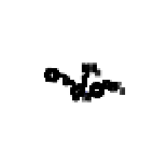 NCCCn1c(COCc2ccccc2)cs/c1=N/c1ccc(OC(F)(F)F)cc1